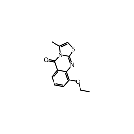 CCOc1cccc2c(=O)n3c(C)csc3nc12